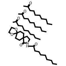 CCCCCCCCC(C)=O.CCCCCCCCC(C)=O.CCCCCCCCC(C)=O.CCCCCCCCC(C)=O.O=C1NCCC12CCC1(CC2)OCCO1